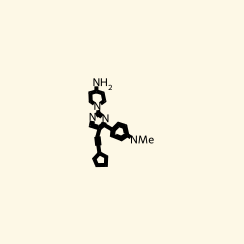 CNc1ccc(-c2nc(N3CCC(N)CC3)ncc2C#CC2CCCC2)cc1